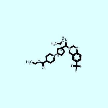 CCOC(=O)C1CCN([C@@H]2CC[C@@](C(=O)N3COc4ccc(C(F)(F)F)cc4C3)(C(C)C)C2)CC1